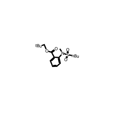 CCCCS(=O)(=O)N(C)c1ccccc1C(=O)OCC(C)(C)C